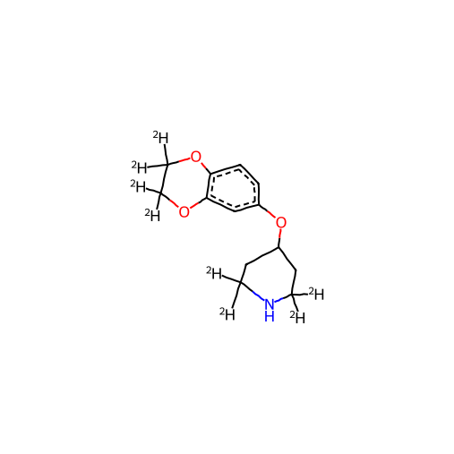 [2H]C1([2H])CC(Oc2ccc3c(c2)OC([2H])([2H])C([2H])([2H])O3)CC([2H])([2H])N1